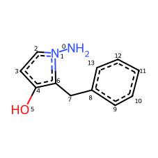 Nn1ccc(O)c1Cc1ccccc1